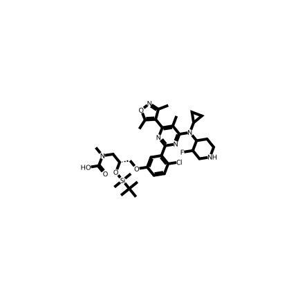 Cc1noc(C)c1-c1nc(-c2cc(OC[C@@H](CN(C)C(=O)O)O[Si](C)(C)C(C)(C)C)ccc2Cl)nc(N(C2CC2)C2CCNCC2F)c1C